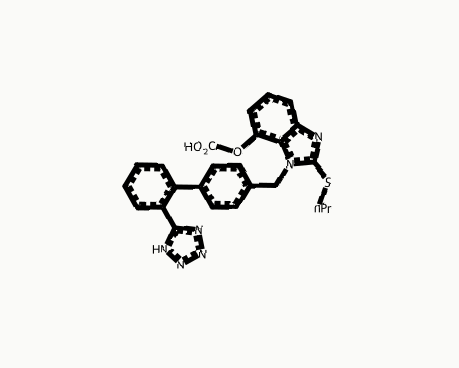 CCCSc1nc2cccc(OC(=O)O)c2n1Cc1ccc(-c2ccccc2-c2nnn[nH]2)cc1